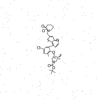 Cc1cc(Cl)cc(-c2ccnc3cc(CN4CCCCS4(=O)=O)sc23)c1O[C@@H]1CN(C(=O)OC(C)(C)C)C[C@@H]1F